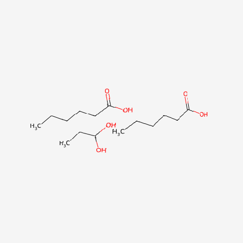 CCC(O)O.CCCCCC(=O)O.CCCCCC(=O)O